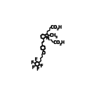 Cc1c(CCCC(=O)O)c2cccc(/C=C/c3ccc(OCCCCc4c(F)c(F)c(F)c(F)c4F)cc3)c2n1CCCC(=O)O